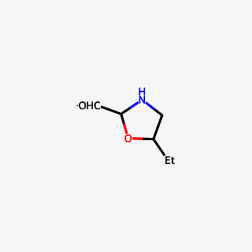 CCC1CNC([C]=O)O1